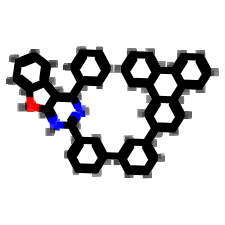 c1ccc(-c2nc(-c3cccc(-c4cccc(-c5ccc6c7ccccc7c7ccccc7c6c5)c4)c3)nc3oc4ccccc4c23)cc1